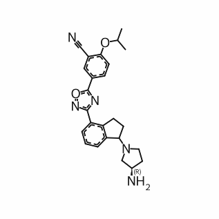 CC(C)Oc1ccc(-c2nc(-c3cccc4c3CCC4N3CC[C@@H](N)C3)no2)cc1C#N